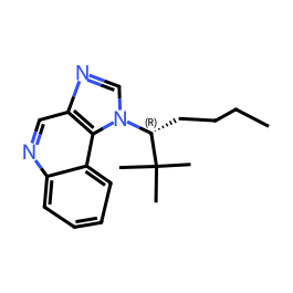 CCCC[C@@H](n1cnc2cnc3ccccc3c21)C(C)(C)C